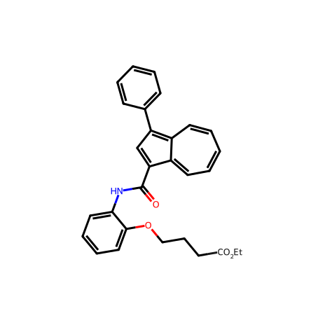 CCOC(=O)CCCOc1ccccc1NC(=O)c1cc(-c2ccccc2)c2cccccc1-2